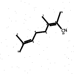 CC(C)=CCCC(C)=C(C)C#N